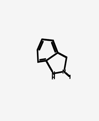 IN1Cc2ccccc2N1